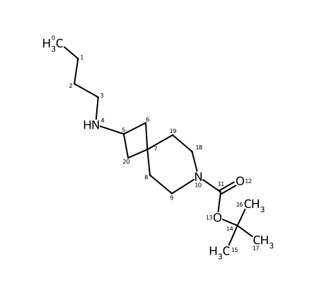 CCCCNC1CC2(CCN(C(=O)OC(C)(C)C)CC2)C1